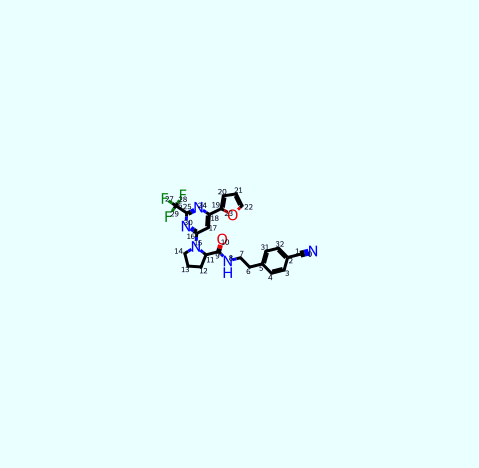 N#Cc1ccc(CCNC(=O)C2CCCN2c2cc(-c3ccco3)nc(C(F)(F)F)n2)cc1